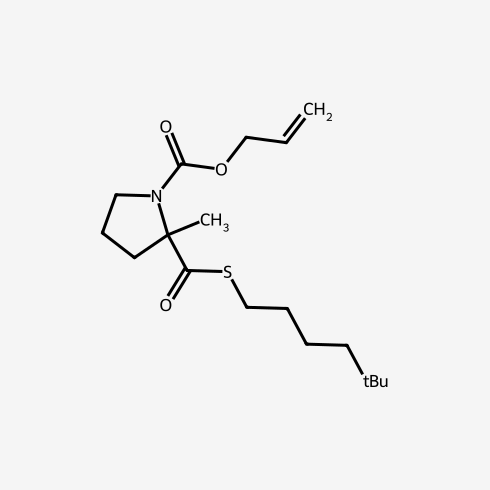 C=CCOC(=O)N1CCCC1(C)C(=O)SCCCCC(C)(C)C